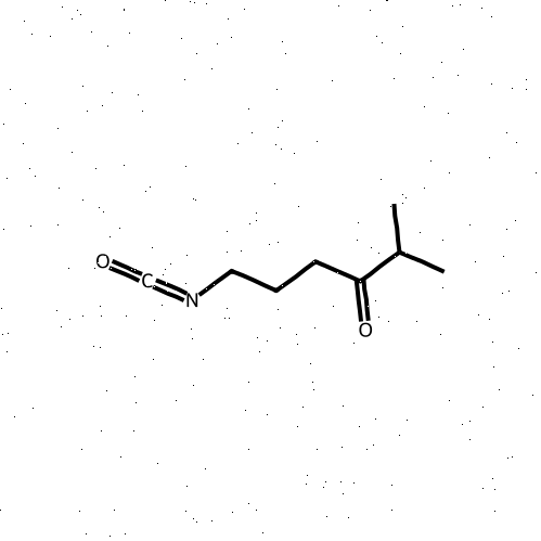 CC(C)C(=O)CCCN=C=O